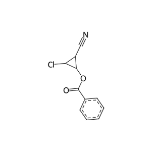 N#CC1C(Cl)C1OC(=O)c1ccccc1